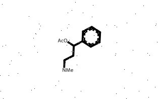 CNCCC(OC(C)=O)c1ccccc1